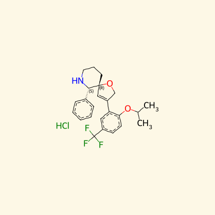 CC(C)Oc1ccc(C(F)(F)F)cc1C1=C[C@@]2(CCCN[C@H]2c2ccccc2)OC1.Cl